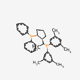 Cc1cc(C)cc(P(c2cc(C)cc(C)c2)C(C)[C@@H]2CCC[C@@H]2P(c2ccccc2)c2ccccc2)c1